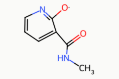 CNC(=O)c1cccnc1[O]